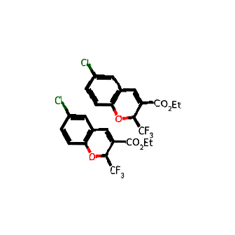 CCOC(=O)C1=Cc2cc(Cl)ccc2OC1C(F)(F)F.CCOC(=O)C1=Cc2cc(Cl)ccc2OC1C(F)(F)F